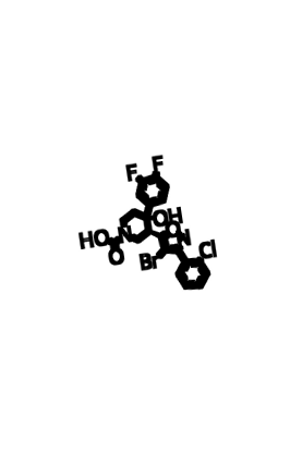 O=C(O)N1CC[C@](O)(c2ccc(F)c(F)c2)[C@@H](c2onc(-c3ccccc3Cl)c2Br)C1